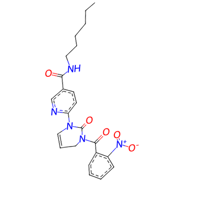 CCCCCCNC(=O)c1ccc(N2C=CCN(C(=O)c3ccccc3[N+](=O)[O-])C2=O)nc1